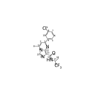 Cc1cc(-c2cccc(Cl)c2)nc2c(C(=O)NC(C)C(F)(F)F)ncn12